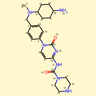 CC(C)N(Cc1ccc(-n2ccc(NC(=O)N3CCNCC3)nc2=O)cc1)C1CCC(N)CC1